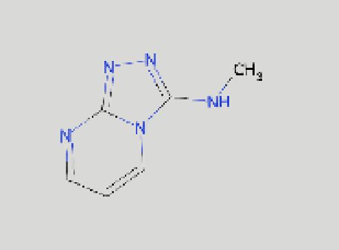 CNc1nnc2ncccn12